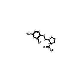 O=C(O)[C@@H]1CCCN1CCc1ccc(O)cc1O